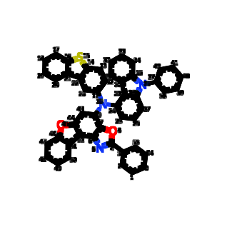 c1ccc(-c2nc3c(o2)c(N(c2ccc4sc5ccccc5c4c2)c2cccc4c2c2ccccc2n4-c2ccccc2)cc2oc4ccccc4c23)cc1